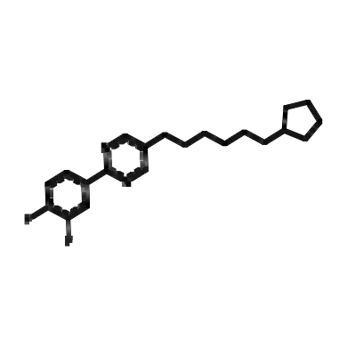 Fc1ccc(-c2ncc(CCCCCCC3CCCC3)cn2)cc1F